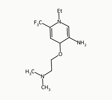 CCN1C=C(N)C(OCCN(C)C)C=C1C(F)(F)F